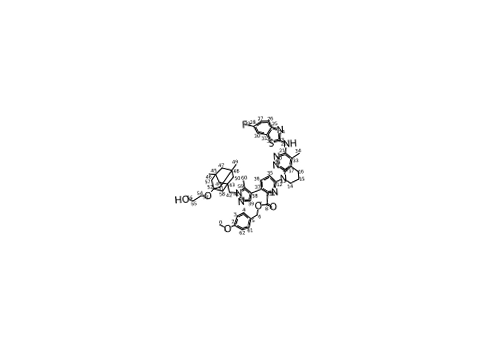 COc1ccc(COC(=O)c2nc(N3CCCc4c3nnc(Nc3nc5ccc(F)cc5s3)c4C)ccc2-c2cnn(CC34CC5(C)CC(C)(C3)CC(OCCO)(C5)C4)c2C)cc1